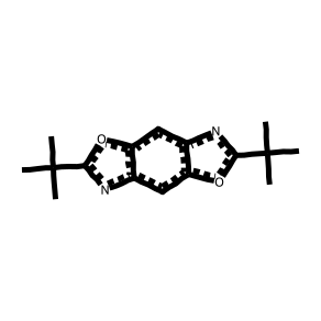 CC(C)(C)c1nc2cc3oc(C(C)(C)C)nc3cc2o1